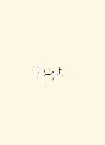 CC1(C)S[C@@H]2[C@H]([C@@H](O)C(=O)N3CCOCC3)C(=O)N2[C@H]1C(=O)[O-].[Na+]